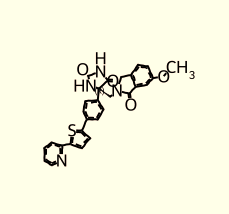 COc1ccc2c(c1)C(=O)N(C[C@@]1(c3ccc(-c4ccc(-c5ccccn5)s4)cc3)NC(=O)NC1=O)C2